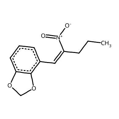 CCC/C(=C/c1cccc2c1OCO2)[N+](=O)[O-]